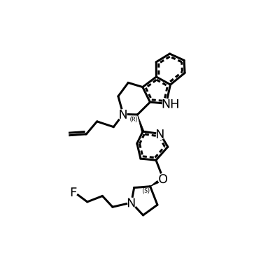 C=CCCN1CCc2c([nH]c3ccccc23)[C@H]1c1ccc(O[C@H]2CCN(CCCF)C2)cn1